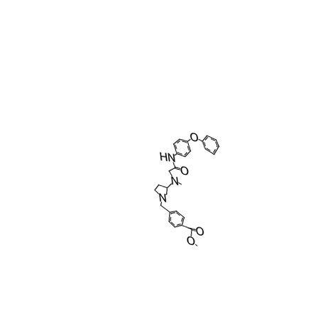 COC(=O)c1ccc(CN2CCC(N(C)CC(=O)Nc3ccc(Oc4ccccc4)cc3)C2)cc1